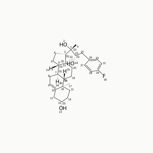 C[C@](O)([C@H]1CC[C@H]2[C@@H]3CC=C4C[C@@H](O)CC[C@]4(C)[C@H]3CC[C@]12C)[C@@H](O)Cc1ccc(F)cc1